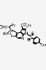 Cc1ccc(S(=O)(=O)n2cc(C(=O)O)c3c(CN(OC(C)(C)C)[C@@H](C=O)C(C)C)c(F)cnc32)cc1